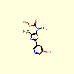 Cc1nc(-c2cncc(O)c2)sc1N(C)C(=O)OC(C)(C)C